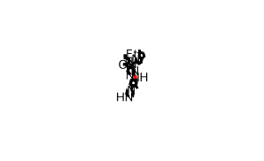 C=CCn1c(=O)c2cnc(Nc3ccc(N4CCNCC4)c(C)c3)nc2n1-c1ccc2c(n1)[C@@](C)(CC)CC2